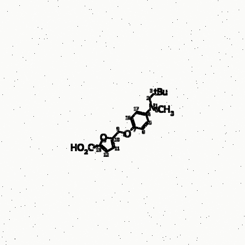 CN(CC(C)(C)C)c1ccc(OCc2ccc(C(=O)O)o2)cc1